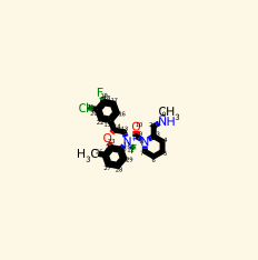 CNCC1CCCCN1C(=O)[N+]1(F)CC(c2ccc(F)c(Cl)c2)Oc2c(C)cccc21